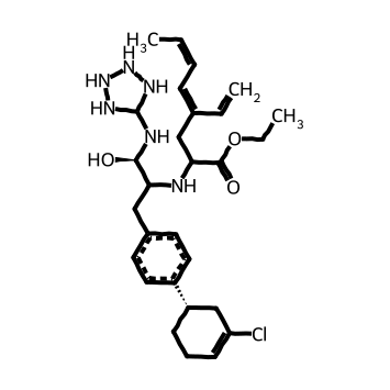 C=C/C(=C\C=C/C)CC(NC(Cc1ccc([C@H]2CCC=C(Cl)C2)cc1)[C@@H](O)NC1NNNN1)C(=O)OCC